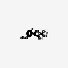 CCCCOc1ccc(F)c(C(O)CC(=N)OC(C)=N)c1